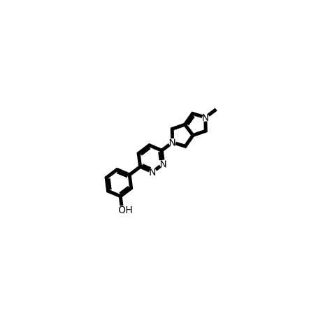 CN1C=C2CN(c3ccc(-c4cccc(O)c4)nn3)CC2C1